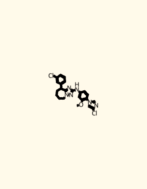 COc1cc(Nc2nc3n(n2)CCCCC3c2cccc(Cl)c2)ccc1-n1cnc(Cl)c1